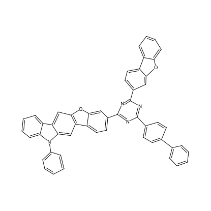 c1ccc(-c2ccc(-c3nc(-c4ccc5c(c4)oc4ccccc45)nc(-c4ccc5c(c4)oc4cc6c7ccccc7n(-c7ccccc7)c6cc45)n3)cc2)cc1